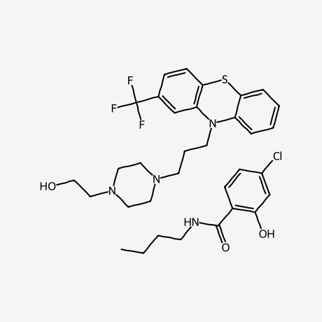 CCCCNC(=O)c1ccc(Cl)cc1O.OCCN1CCN(CCCN2c3ccccc3Sc3ccc(C(F)(F)F)cc32)CC1